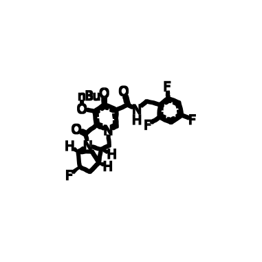 CCCCOc1c2n(cc(C(=O)NCc3c(F)cc(F)cc3F)c1=O)C[C@@H]1[C@@H]3C[C@@H](F)[C@@H](C3)N1C2=O